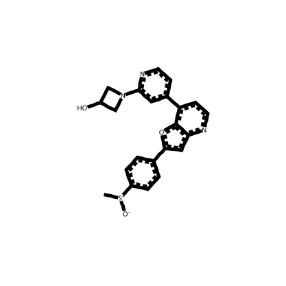 C[S+]([O-])c1ccc(-c2cc3nccc(-c4ccnc(N5CC(O)C5)c4)c3o2)cc1